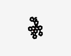 CC1(C)c2ccccc2-c2cc(-c3c(-c4ccccc4)cccc3N(c3ccc4ccccc4c3)c3ccc4sc5ccccc5c4c3)ccc21